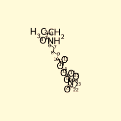 C=C(C)C(=O)NCCCCCC(=O)OCOC(=O)ON1C(=O)CCC1=O